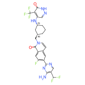 Nc1nc(-c2cc3ccn(C[C@@H]4CCC[C@H](Nc5cn[nH]c(=O)c5C(F)(F)F)C4)c(=O)c3cc2F)ncc1C(F)F